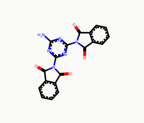 Nc1nc(N2C(=O)c3ccccc3C2=O)nc(N2C(=O)c3ccccc3C2=O)n1